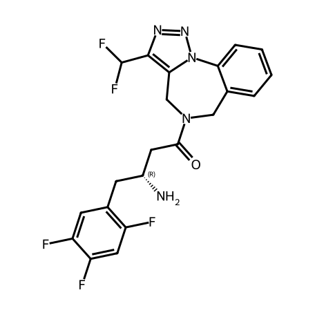 N[C@@H](CC(=O)N1Cc2ccccc2-n2nnc(C(F)F)c2C1)Cc1cc(F)c(F)cc1F